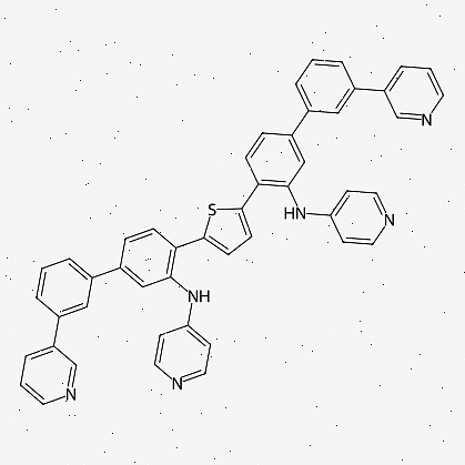 c1cncc(-c2cccc(-c3ccc(-c4ccc(-c5ccc(-c6cccc(-c7cccnc7)c6)cc5Nc5ccncc5)s4)c(Nc4ccncc4)c3)c2)c1